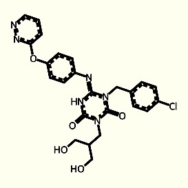 O=c1[nH]/c(=N\c2ccc(Oc3cccnn3)cc2)n(Cc2ccc(Cl)cc2)c(=O)n1CC(CO)CO